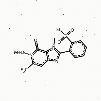 CCS(=O)(=O)c1ccccc1-c1nc2cc(C(F)(F)F)n(OC)c(=O)c2n1C